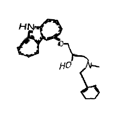 CN(CC1=CCCC=C1)CC(O)COc1cccc2[nH]c3ccccc3c12